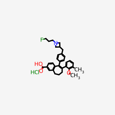 COc1c(C)cccc1C1=C(c2ccc(CC3CN(CCCF)C3)cc2)c2ccc(C(=O)O)cc2CCC1.Cl